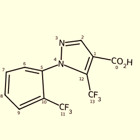 O=C(O)c1cnn(-c2ccccc2C(F)(F)F)c1C(F)(F)F